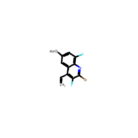 C=Cc1c(F)c(Br)nc2c(F)cc(OC)cc12